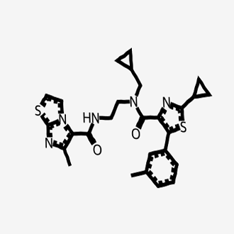 Cc1cccc(-c2sc(C3CC3)nc2C(=O)N(CCNC(=O)c2c(C)nc3sccn23)CC2CC2)c1